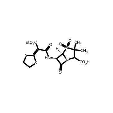 CCOC(=O)C(C(=O)N[C@@H]1C(=O)N2C(C(=O)O)C(C)(C)S(=O)(=O)[C@H]12)=C1SCCS1